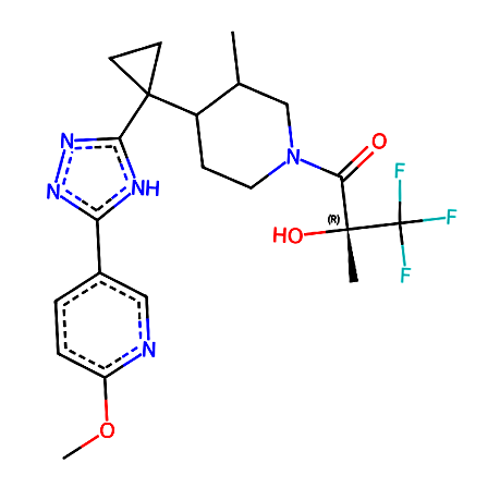 COc1ccc(-c2nnc(C3(C4CCN(C(=O)[C@@](C)(O)C(F)(F)F)CC4C)CC3)[nH]2)cn1